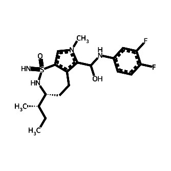 CC[C@H](C)[C@H]1CCc2c(cn(C)c2C(O)Nc2ccc(F)c(F)c2)S(=N)(=O)N1